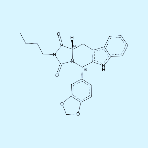 CCCCN1C(=O)[C@@H]2Cc3c([nH]c4ccccc34)[C@H](c3ccc4c(c3)OCO4)N2C1=O